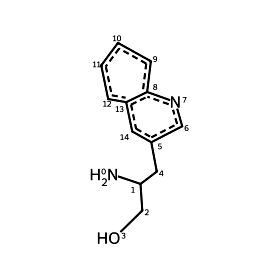 NC(CO)Cc1cnc2ccccc2c1